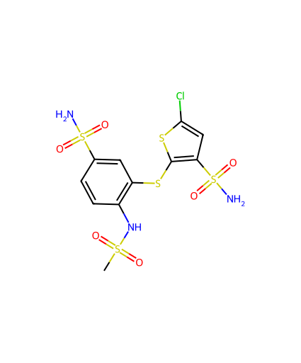 CS(=O)(=O)Nc1ccc(S(N)(=O)=O)cc1Sc1sc(Cl)cc1S(N)(=O)=O